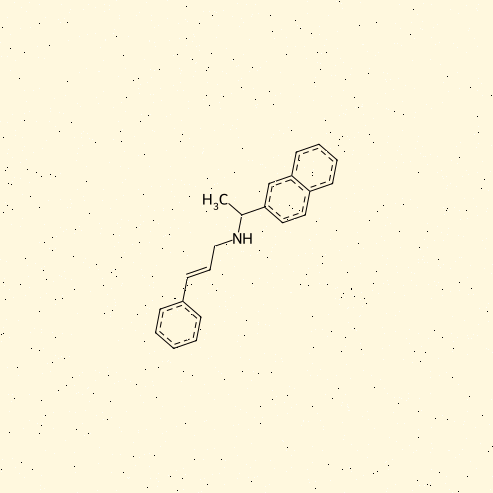 CC(NC/C=C/c1ccccc1)c1ccc2ccccc2c1